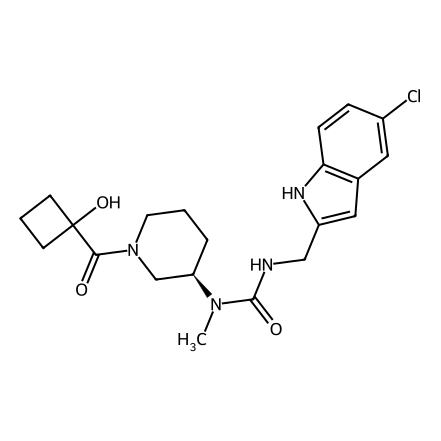 CN(C(=O)NCc1cc2cc(Cl)ccc2[nH]1)[C@@H]1CCCN(C(=O)C2(O)CCC2)C1